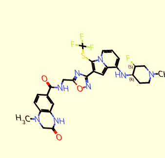 CN1CC[C@@H](Nc2cccn3c(SC(F)(F)F)c(-c4noc(CNC(=O)c5ccc6c(c5)NC(=O)CN6C)n4)cc23)[C@@H](F)C1